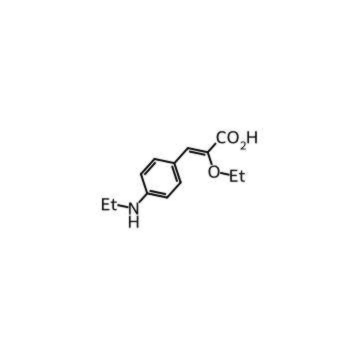 CCNc1ccc(C=C(OCC)C(=O)O)cc1